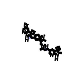 C=C(/C=C/c1cnc2c(c1)C1(CCC1)C(=C)N2)NCc1c(C)n(C)c2ccc(/C=C3/Nc4ncc(Br)cc4C34CCC4)cc12